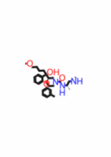 CNC[C@H](C)NC(=O)N1CCC[C@@H]([C@@](O)(CCCCOC)c2ccccc2Oc2cccc(C)c2)C1